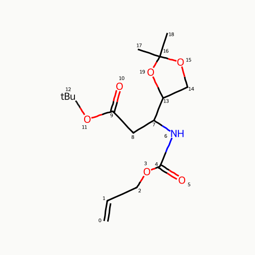 C=CCOC(=O)NC(CC(=O)OC(C)(C)C)C1COC(C)(C)O1